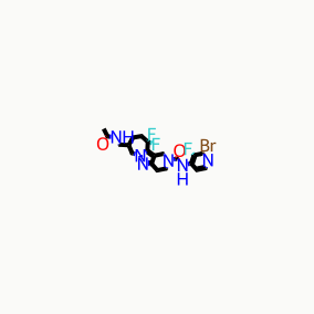 CC(=O)NCC1CCC(F)(F)c2c3c(nn2C1)CCN(C(=O)Nc1ccnc(Br)c1F)C3